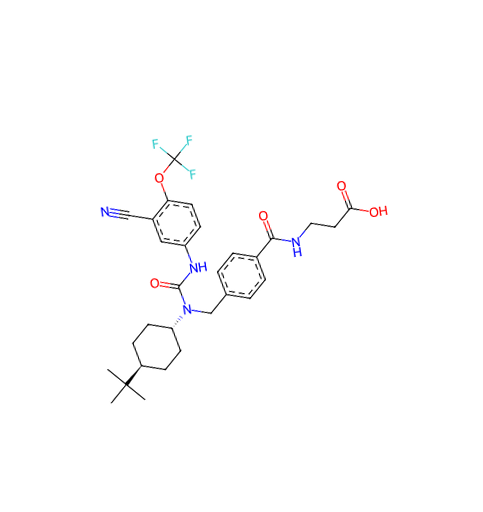 CC(C)(C)[C@H]1CC[C@H](N(Cc2ccc(C(=O)NCCC(=O)O)cc2)C(=O)Nc2ccc(OC(F)(F)F)c(C#N)c2)CC1